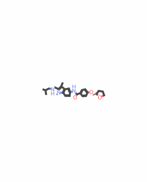 Cc1c(CNCC(C)C)n(C)c2ccc(NC(=O)c3ccc(OC[C@@H]4CCCO4)cc3)cc12